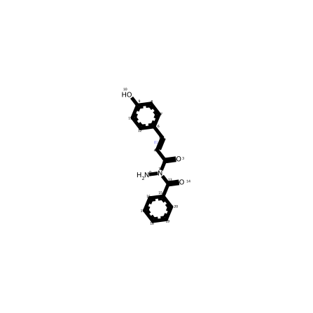 NN(C(=O)/C=C/c1ccc(O)cc1)C(=O)c1ccccc1